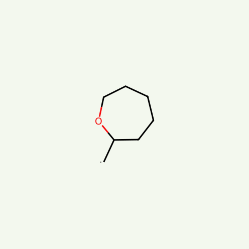 [CH2]C1CCCCCO1